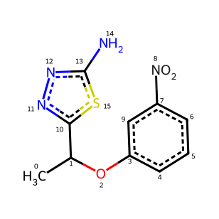 CC(Oc1cccc([N+](=O)[O-])c1)c1nnc(N)s1